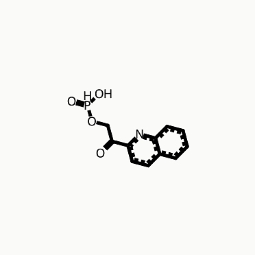 O=C(CO[PH](=O)O)c1ccc2ccccc2n1